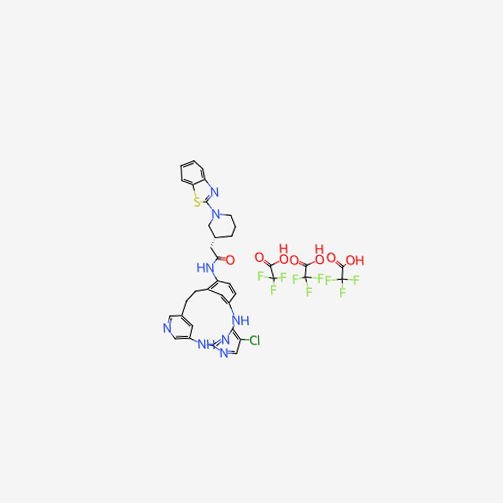 O=C(C[C@H]1CCCN(c2nc3ccccc3s2)C1)Nc1ccc2cc1CCc1cncc(c1)Nc1ncc(Cl)c(n1)N2.O=C(O)C(F)(F)F.O=C(O)C(F)(F)F.O=C(O)C(F)(F)F